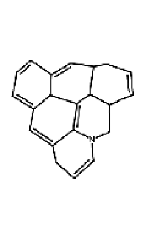 C1=CC2=CC3CC=CC4CN5C=CCC6=CC(=C1)C2C(=C65)C34